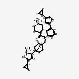 CN1CCC(C(=O)N(CC23CCC(c4cc(C5CC5)nn4C)(CC2)CC3)c2cccc(-c3cc(C4CC4)no3)c2)CC1